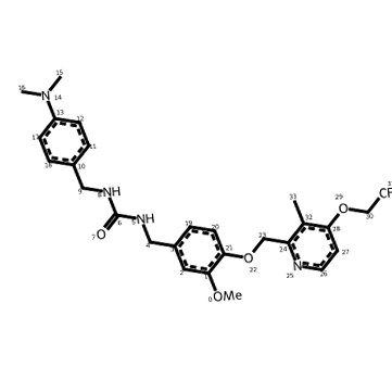 COc1cc(CNC(=O)NCc2ccc(N(C)C)cc2)ccc1OCc1nccc(OCC(F)(F)F)c1C